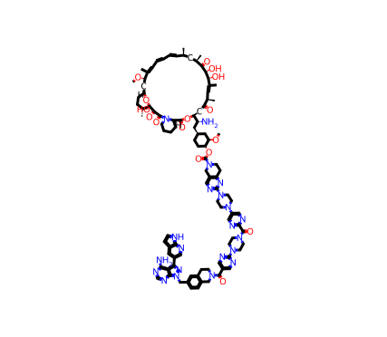 CO[C@H]1C[C@@H]2CC[C@@H](C)[C@@](O)(O2)C(=O)C(=O)N2CCCC[C@H]2C(=O)O[C@H]([C@H](N)C[C@@H]2CC[C@@H](OC(=O)N3CCc4nc(N5CCN(c6cnc(C(=O)N7CCN(c8ncc(C(=O)N9CCc%10cc(Cn%11nc(-c%12cnc%13[nH]ccc%13c%12)c%12c(N)ncnc%12%11)ccc%10C9)cn8)CC7)nc6)CC5)ncc4C3)[C@H](OC)C2)CC(=O)[C@H](C)/C=C(\C)[C@@H](O)[C@@H](O)C(=O)[C@H](C)C[C@H](C)/C=C/C=C/C=C/1C